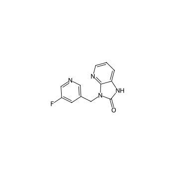 O=c1[nH]c2cccnc2n1Cc1cncc(F)c1